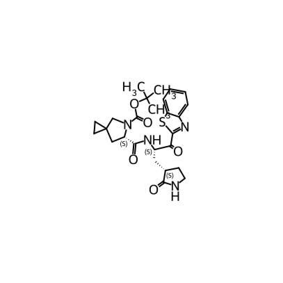 CC(C)(C)OC(=O)N1CC2(CC2)C[C@H]1C(=O)N[C@@H](C[C@@H]1CCNC1=O)C(=O)c1nc2ccccc2s1